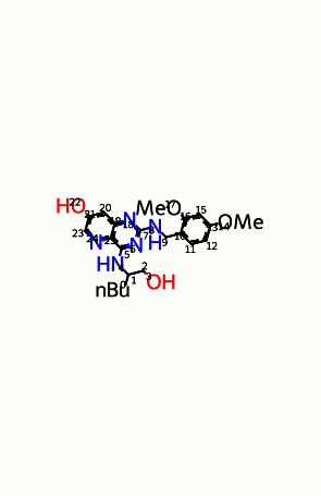 CCCCC(CO)Nc1nc(NCc2ccc(OC)cc2OC)nc2cc(O)cnc12